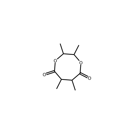 CC1OC(=O)C(C)C(C)C(=O)OC1C